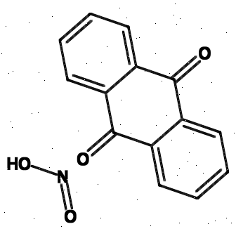 O=C1c2ccccc2C(=O)c2ccccc21.O=NO